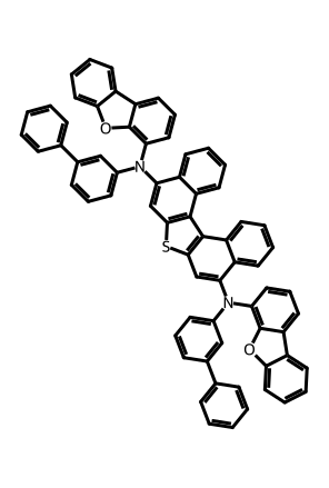 c1ccc(-c2cccc(N(c3cc4sc5cc(N(c6cccc(-c7ccccc7)c6)c6cccc7c6oc6ccccc67)c6ccccc6c5c4c4ccccc34)c3cccc4c3oc3ccccc34)c2)cc1